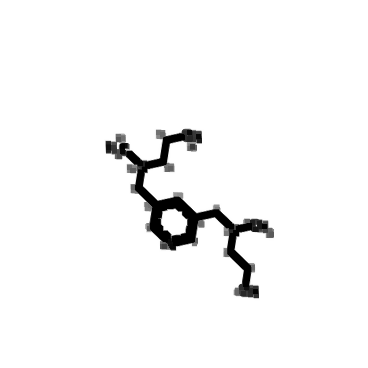 CN(CCO)Cc1cncc(CN(C)CCO)c1